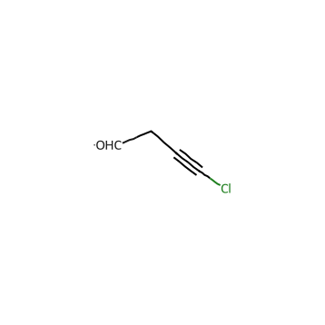 O=[C]CC#CCl